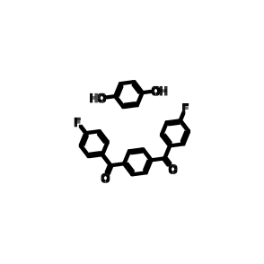 O=C(c1ccc(F)cc1)c1ccc(C(=O)c2ccc(F)cc2)cc1.Oc1ccc(O)cc1